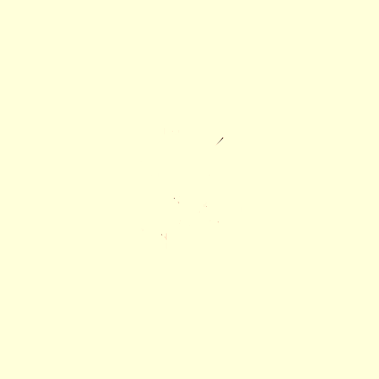 CO[C@@H]1[C@H](O)[C@@H](CO)O[C@]1(n1ccc(=O)[nH]c1=O)[Si](C)(C)C(C)(C)C